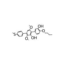 CCCCOc1ccc(-c2c(OC)cc(-c3ccc(SC)cc3)c(OC)c2O)cc1O